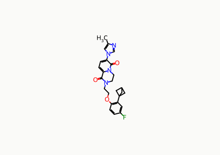 Cc1cn(-c2ccc3n(c2=O)CCN(CCOc2ccc(F)cc2C24CC(C2)C4)C3=O)cn1